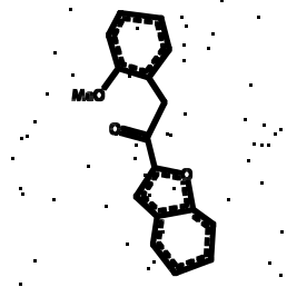 COc1ccccc1CC(=O)c1cc2ccccc2o1